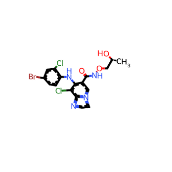 C[C@H](O)CONC(=O)c1cn2ccnc2c(Cl)c1Nc1ccc(Br)cc1Cl